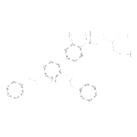 CCC(C)CCNc1ccc(-c2ccc(OCc3ccccc3)nc2OCc2ccccc2)cc1F